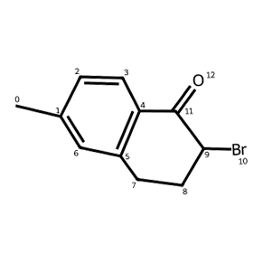 Cc1ccc2c(c1)CCC(Br)C2=O